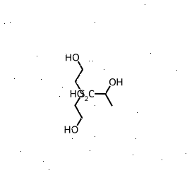 CC(O)C(=O)O.OCCSCCO